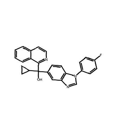 OC(c1ccc2c(c1)ncn2-c1ccc(F)cc1)(c1nccc2ccccc12)C1CC1